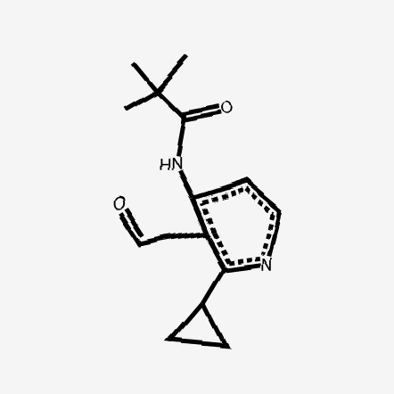 CC(C)(C)C(=O)Nc1ccnc(C2CC2)c1C=O